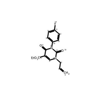 C=CCn1cc(C(=O)OCC)c(=O)n(-c2ccc(F)cc2)c1=O